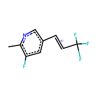 Cc1ncc(/C=C/C(F)(F)F)cc1F